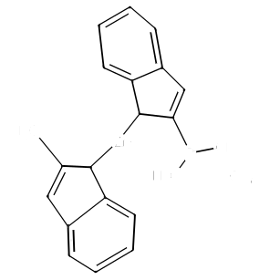 CC1=Cc2ccccc2[CH]1[Zr+2][CH]1C(P(C)C)=Cc2ccccc21.[Cl-].[Cl-]